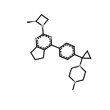 C[C@H]1CCN1c1nc2c(c(-c3ccc(C4(N5CCN(C)CC5)CC4)cc3)n1)CCC2